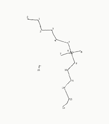 CCCCCC[N+](C)(C)CCCCCC.[I-]